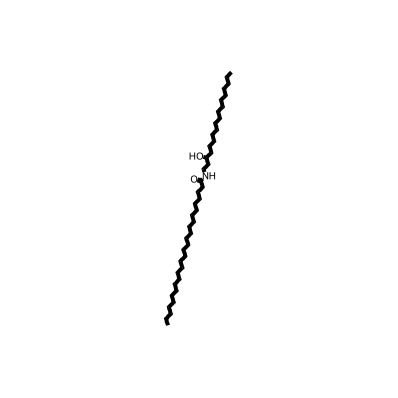 CCCCCCCCCCCCCCCCCCCCCCCCCC(=O)NCCC(O)CCCCCCCCCCCCCCC